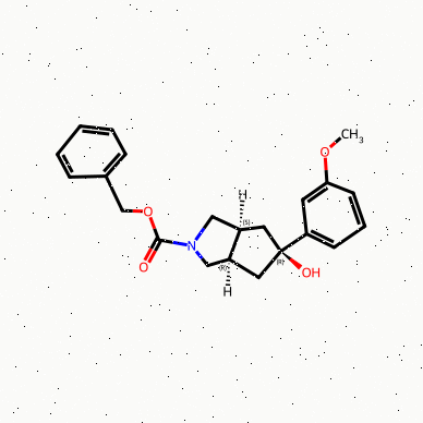 COc1cccc([C@]2(O)C[C@H]3CN(C(=O)OCc4ccccc4)C[C@H]3C2)c1